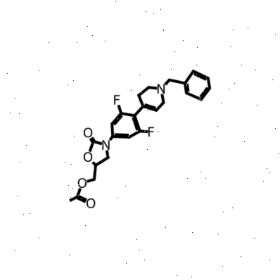 CC(=O)OCC1CN(c2cc(F)c(C3=CCN(Cc4ccccc4)CC3)c(F)c2)C(=O)O1